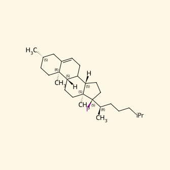 CC(C)CCC[C@@H](C)[C@@]1(I)CC[C@H]2C3CC=C4C[C@@H](C)CC[C@]4(C)[C@H]3CC[C@@]21C